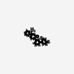 CC1(c2ccccn2)CCN(c2cccc(-c3ccc(F)cc3F)c2)C(=O)C1